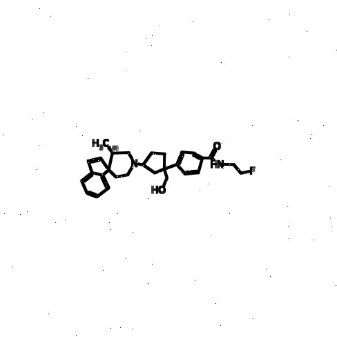 C[C@H]1CN(C2CCC(CO)(c3ccc(C(=O)NCCF)cc3)C2)CCC12C=Cc1ccccc12